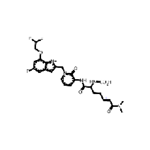 CN(C)C(=O)/C=C/CCC(NC(=O)O)C(=O)Nc1cccn(Cc2cc3cc(F)cc(OCC(F)F)c3[nH]2)c1=O